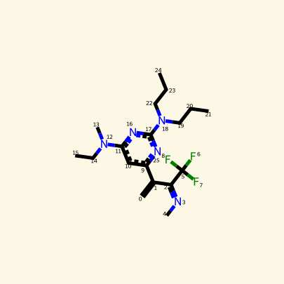 C=C(/C(=N\C)C(F)(F)F)c1cc(N(C)CC)nc(N(CCC)CCC)n1